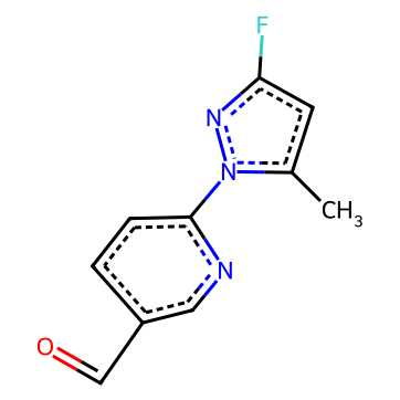 Cc1cc(F)nn1-c1ccc(C=O)cn1